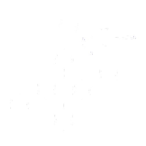 N#Cc1ccc2c(c1)nc(-c1cccc(-c3c4ccc(-c5ccccc5)cc4c(-c4ccccc4)c4ccc(-c5ccccc5)cc34)c1)n2-c1ccccc1